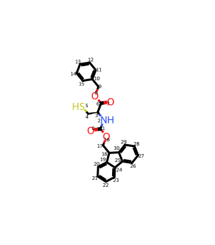 O=C(N[C@@H](CS)C(=O)OCc1ccccc1)OCC1c2ccccc2-c2ccccc21